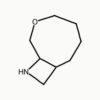 C1CCC2CNC2COC1